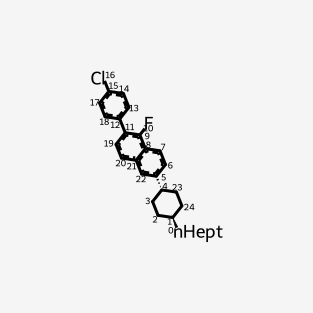 CCCCCCC[C@H]1CC[C@H](c2ccc3c(F)c(-c4ccc(Cl)cc4)ccc3c2)CC1